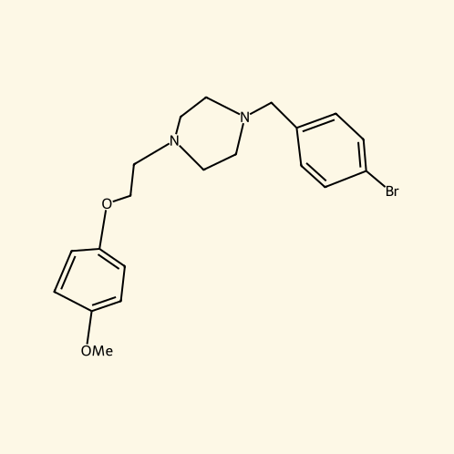 COc1ccc(OCCN2CCN(Cc3ccc(Br)cc3)CC2)cc1